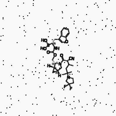 CC(CC(C)(C)N1CCC(F)(F)C1)C(C#N)C(=O)N1C[C@@H]2C[C@@H]2[C@@H]1COC(=O)N[C@@H](Cc1coc2ccccc12)B(O)O